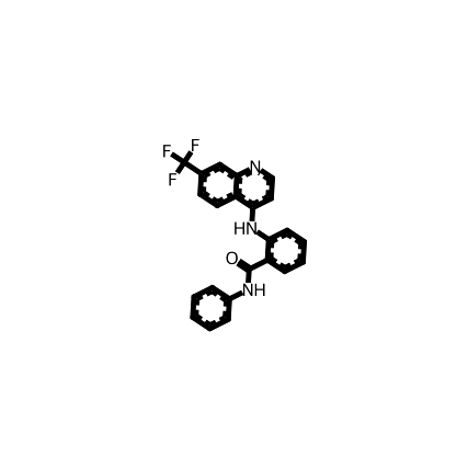 O=C(Nc1ccccc1)c1ccccc1Nc1ccnc2cc(C(F)(F)F)ccc12